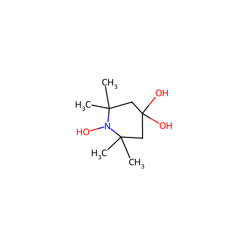 CC1(C)CC(O)(O)CC(C)(C)N1O